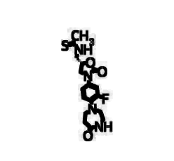 CC(=S)NC[C@H]1CN(c2ccc(N3CCNC(=O)CC3)c(F)c2)C(=O)O1